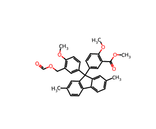 COC(=O)c1cc(C2(c3ccc(OC)c(COC=O)c3)c3cc(C)ccc3-c3ccc(C)cc32)ccc1OC